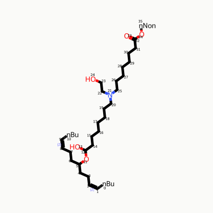 CCCC/C=C\CCC(CC/C=C\CCCC)OC(O)CCCCCCCN(CCO)CCCCCCCC(=O)OCCCCCCCCC